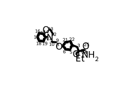 CCOC(Cc1ccc(OCCN2CCOc3ccccc32)cc1)C(N)=O